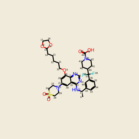 C[C@@H](Nc1ncnc2c(OCCCCCC3OCCO3)cc(N3CCS(=O)(=O)CC3)cc12)c1cccc(C(F)(F)C2CCN(C(=O)O)CC2)c1